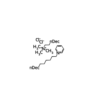 CCCCCCCCCCCCCCCC[n+]1ccccc1.CCCCCCCCCCCC[N+](C)(C)C.[Cl-].[Cl-]